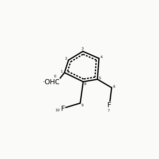 O=[C]c1cccc(CF)c1CF